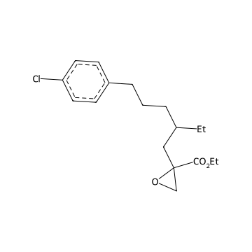 CCOC(=O)C1(CC(CC)CCCc2ccc(Cl)cc2)CO1